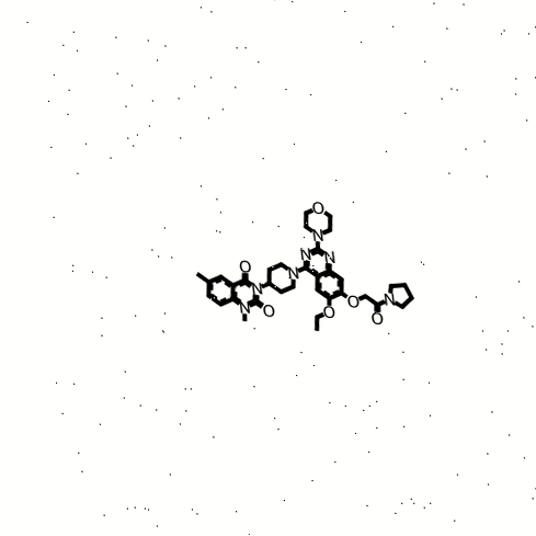 CCOc1cc2c(N3CCC(n4c(=O)c5cc(C)ccc5n(C)c4=O)CC3)nc(N3CCOCC3)nc2cc1OCC(=O)N1CCCC1